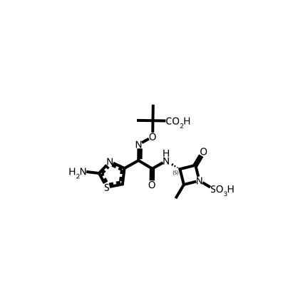 CC1[C@H](NC(=O)C(=NOC(C)(C)C(=O)O)c2csc(N)n2)C(=O)N1S(=O)(=O)O